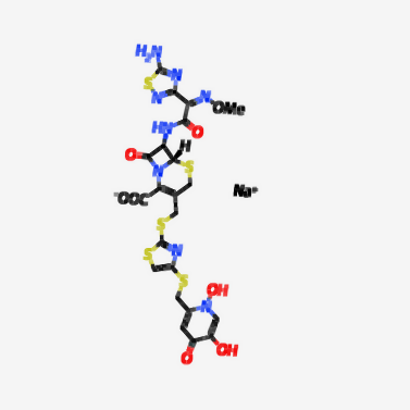 CO/N=C(\C(=O)N[C@@H]1C(=O)N2C(C(=O)[O-])=C(CSc3nc(SCc4cc(=O)c(O)cn4O)cs3)CS[C@@H]12)c1nsc(N)n1.[Na+]